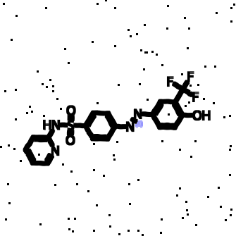 O=S(=O)(Nc1ccccn1)c1ccc(/N=N/c2ccc(O)c(C(F)(F)F)c2)cc1